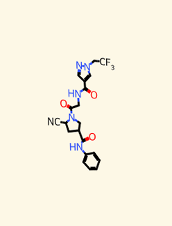 N#CC1CC(C(=O)Nc2ccccc2)CN1C(=O)CNC(=O)c1cnn(CC(F)(F)F)c1